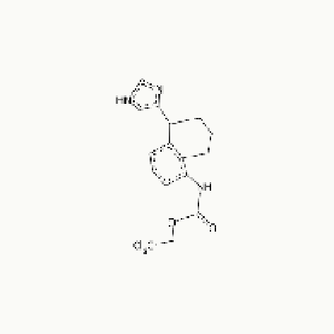 O=C(Nc1cccc2c1CCCC2c1c[nH]cn1)OCC(Cl)(Cl)Cl